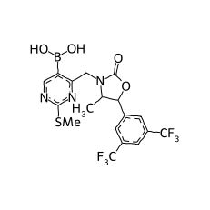 CSc1ncc(B(O)O)c(CN2C(=O)OC(c3cc(C(F)(F)F)cc(C(F)(F)F)c3)C2C)n1